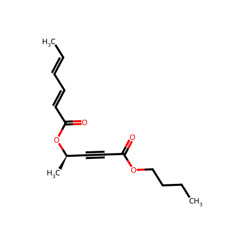 C/C=C/C=C/C(=O)O[C@H](C)C#CC(=O)OCCCC